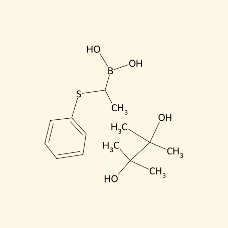 CC(C)(O)C(C)(C)O.CC(Sc1ccccc1)B(O)O